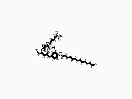 CCCCCCCCCCCCCCOc1ccc(CC(COP(=O)(O)OCCCC[N+](C)(C)C)CC(=O)CC)cc1